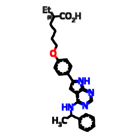 CC[C@H](CCCCOc1ccc(-c2cc3c(NC(C)c4ccccc4)ncnc3[nH]2)cc1)C(=O)O